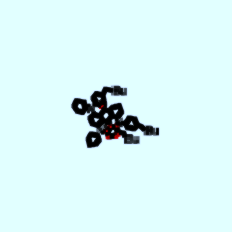 CCC(C)Cc1ccc(N(c2ccccc2)c2cccc3c2C(=O)c2c(N(c4ccccc4)c4ccc(CC(C)CC)cc4)ccc(N(c4ccccc4)c4ccc(CC(C)CC)cc4)c2C3=O)cc1